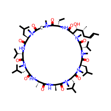 C/C=C/C[C@@H](C)[C@@H](O)[C@H]1C(=O)N[C@@H](CC)C(=O)N(C)CC(=O)N(C)[C@H](CC(C)C)C(=O)N[C@@H](C(C)C)C(=O)N(C)[C@@H](CC(C)C)C(=O)N[C@@H](C)C(=O)N[C@H](C)C(=O)N(C)[C@@H](CC(C)C)C(=O)N(C)[C@H](CC(C)C)C(=O)N(C)[C@@H](C(C)C)C(=O)N1C